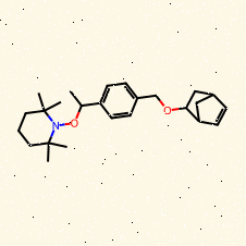 CC(ON1C(C)(C)CCCC1(C)C)c1ccc(COC2CC3C=CC2C3)cc1